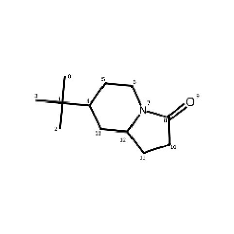 CC(C)(C)C1CCN2C(=O)CCC2C1